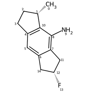 C[C@H]1CCc2cc3c(c(N)c21)C[C@H](F)C3